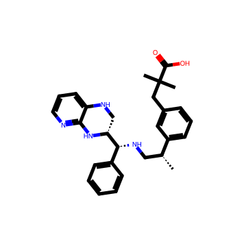 C[C@H](CN[C@H](c1ccccc1)[C@H]1CNc2cccnc2N1)c1cccc(CC(C)(C)C(=O)O)c1